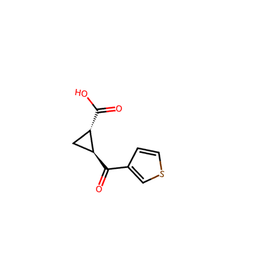 O=C(O)[C@H]1C[C@@H]1C(=O)c1ccsc1